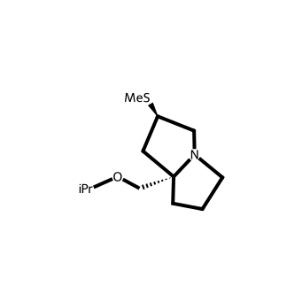 CS[C@H]1CN2CCC[C@@]2(COC(C)C)C1